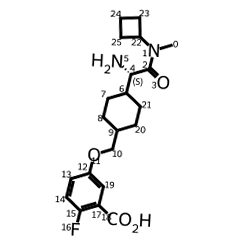 CN(C(=O)[C@@H](N)C1CCC(COc2ccc(F)c(C(=O)O)c2)CC1)C1CCC1